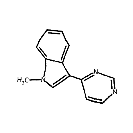 Cn1cc(-c2ccncn2)c2ccccc21